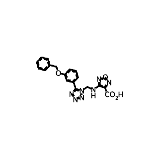 O=C(O)c1nonc1NCn1nnnc1-c1cccc(OCc2ccccc2)c1